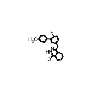 Cc1ccc(-c2cc(Cc3n[nH]c(=O)c4ccccc34)ccc2F)cc1